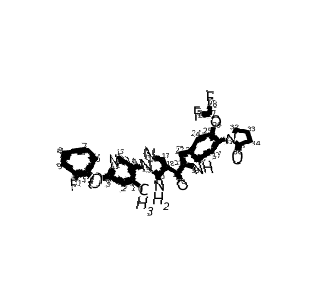 Cc1cc(Oc2ccccc2F)ncc1-n1ncc(C(=O)c2cc3cc(OC(F)F)c(N4CCCC4=O)cc3[nH]2)c1N